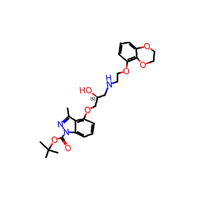 Cc1nn(C(=O)OC(C)(C)C)c2cccc(OC[C@@H](O)CNCCOc3cccc4c3OCCO4)c12